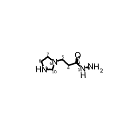 NNC(=O)CCN1CCNC1